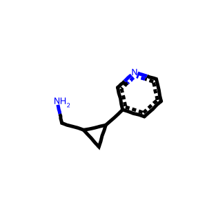 NCC1CC1c1cccnc1